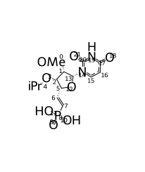 CO[C@H]1[C@@H](OC(C)C)[C@@H](/C=C/P(=O)(O)O)O[C@H]1n1ccc(=O)[nH]c1=O